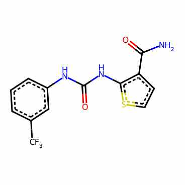 NC(=O)c1ccsc1NC(=O)Nc1cccc(C(F)(F)F)c1